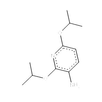 CC(C)Oc1ccc(N)c(OC(C)C)n1